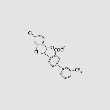 O=C(Nc1ccc(-c2cccc(C(F)(F)F)c2)cc1C(=O)[O-])c1ccc(Cl)cc1Cl.[Li+]